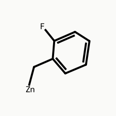 Fc1ccccc1[CH2][Zn]